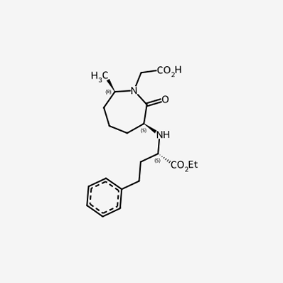 CCOC(=O)[C@H](CCc1ccccc1)N[C@H]1CCC[C@@H](C)N(CC(=O)O)C1=O